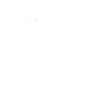 CC=CC(C)OC(N)=O